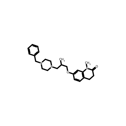 CC(COc1ccc2c(c1)N(C)C(=O)CC2)CN1CCN(Cc2ccccc2)CC1